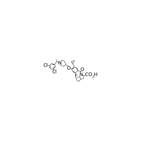 CC(c1cc(Cl)cc(Cl)c1)N1CCC(COc2cc(F)c(C(=O)N3C(C(=O)O)CC4CCCC43)cc2C2CC2)CC1